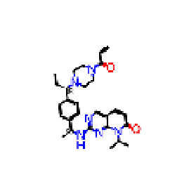 C=CC(=O)N1CCN([C@H](CC)c2ccc([C@H](C)Nc3ncc4ccc(=O)n(C(C)C)c4n3)cc2)CC1